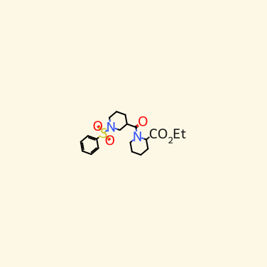 CCOC(=O)C1CCCCN1C(=O)C1CCCN(S(=O)(=O)c2ccccc2)C1